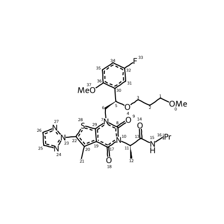 COCCCO[C@@H](Cn1c(=O)n([C@H](C)C(=O)NC(C)C)c(=O)c2c(C)c(-n3nccn3)sc21)c1cc(F)ccc1OC